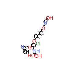 Cc1c(COCCN2CC[C@@H](O)C2)cccc1-c1cccc(COc2cc(OCc3cncc(C#N)c3)c(CNC(CO)CO)cc2Cl)c1C